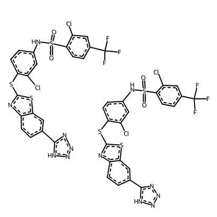 O=S(=O)(Nc1ccc(Sc2nc3ccc(-c4nnn[nH]4)cc3s2)c(Cl)c1)c1ccc(C(F)(F)F)cc1Cl.O=S(=O)(Nc1ccc(Sc2nc3ccc(-c4nnn[nH]4)cc3s2)c(Cl)c1)c1ccc(C(F)(F)F)cc1Cl